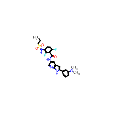 CCCS(=O)(=O)Nc1ccc(F)c(C(=O)Nc2cnc3[nH]c(-c4cccc(N(C)C)c4)cc3c2)c1F